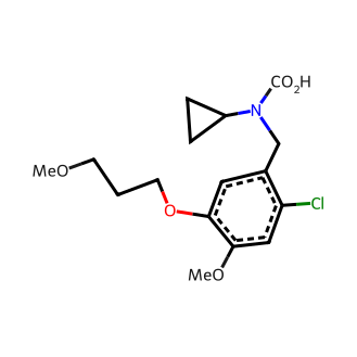 COCCCOc1cc(CN(C(=O)O)C2CC2)c(Cl)cc1OC